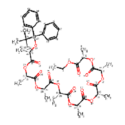 CCOC(=O)[C@H](C)OC(=O)[C@H](C)OC(=O)[C@H](C)OC(=O)[C@H](C)OC(=O)[C@H](C)OC(=O)[C@H](C)OC(=O)[C@H](C)OC(=O)[C@H](C)O[Si](c1ccccc1)(c1ccccc1)C(C)(C)C